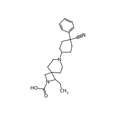 CCC1N(C(=O)O)CC12CCN(C1CCC(C#N)(c3ccccc3)CC1)CC2